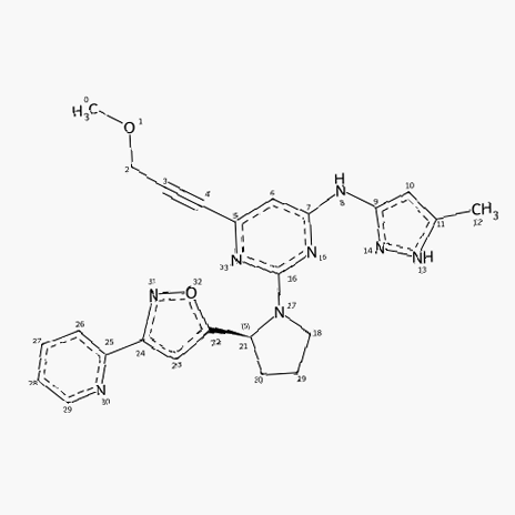 COCC#Cc1cc(Nc2cc(C)[nH]n2)nc(N2CCC[C@H]2c2cc(-c3ccccn3)no2)n1